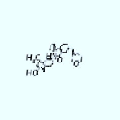 Cc1cc(O)nc2ccc(NC(=O)c3cc(CN4CCCOCC4)ccc3N3CCCC3)cc12